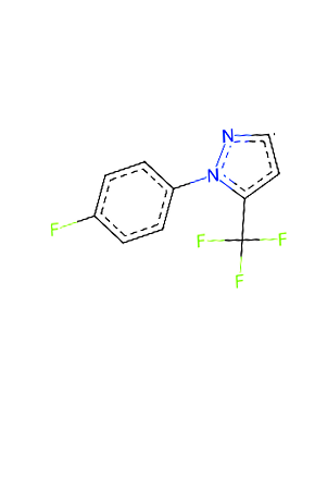 Fc1ccc(-n2n[c]cc2C(F)(F)F)cc1